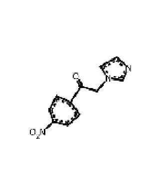 O=C(Cn1ccnc1)c1ccc([N+](=O)[O-])cc1